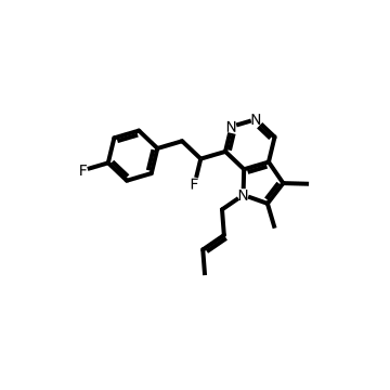 CC=CCn1c(C)c(C)c2cnnc(C(F)Cc3ccc(F)cc3)c21